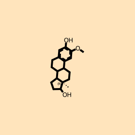 COc1cc2c(cc1O)CCC1C2CC[C@@]2(C)C(O)CCC12